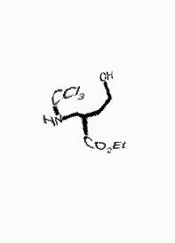 CCOC(=O)C(CO)NC(Cl)(Cl)Cl